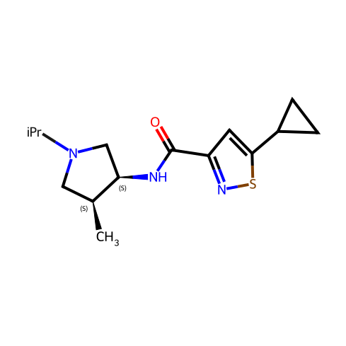 CC(C)N1C[C@H](C)[C@H](NC(=O)c2cc(C3CC3)sn2)C1